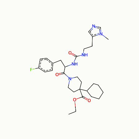 CCOC(=O)C1(C2CCCCC2)CCN(C(=O)C(Cc2ccc(F)cc2)NC(=O)NCCc2cncn2C)CC1